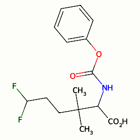 CC(C)(CCC(F)F)C(NC(=O)Oc1ccccc1)C(=O)O